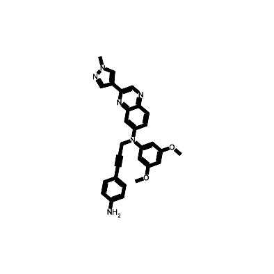 COc1cc(OC)cc(N(CC#Cc2ccc(N)cc2)c2ccc3ncc(-c4cnn(C)c4)nc3c2)c1